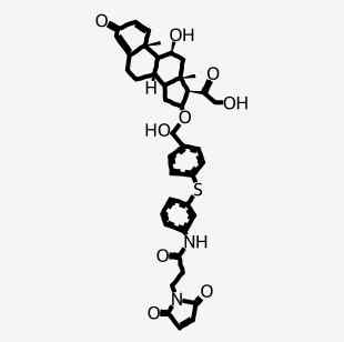 C[C@]12C=CC(=O)C=C1CC[C@@H]1C2[C@@H](O)C[C@@]2(C)C1CC(O[C@H](O)c1ccc(Sc3cccc(NC(=O)CCN4C(=O)C=CC4=O)c3)cc1)[C@@H]2C(=O)CO